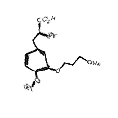 CCCOc1ccc(C[C@@H](C(=O)O)C(C)C)cc1OCCCOC